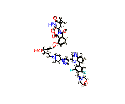 CC(O)(C#CCOc1cccc2c1C(=O)N(C1CC3(CC3)C(=O)NC1=O)C2=O)CCCN1CCC(n2cc(-c3cnc4cccc(-c5cc(F)c(CN6CCOCC6)c(F)c5)c4n3)cn2)CC1